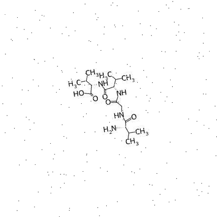 CC(C)[C@H](N)C(=O)NCC(=O)N[C@H](C(=O)N[C@H](C(=O)O)C(C)C)C(C)C